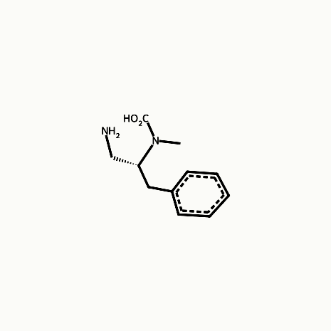 CN(C(=O)O)[C@@H](CN)Cc1ccccc1